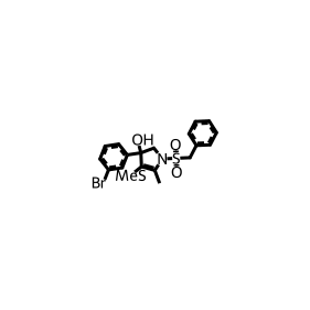 CSC1=C(C)N(S(=O)(=O)Cc2ccccc2)CC1(O)c1cccc(Br)c1